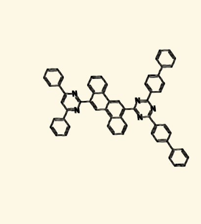 c1ccc(-c2ccc(-c3nc(-c4ccc(-c5ccccc5)cc4)nc(-c4cc5c6ccccc6c(-c6nc(-c7ccccc7)cc(-c7ccccc7)n6)cc5c5ccccc45)n3)cc2)cc1